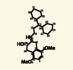 COc1ccc(OC)c2c1C[C@H](NCCC(C1CCCCC1)C1CCCCC1)[C@@H](O)C2